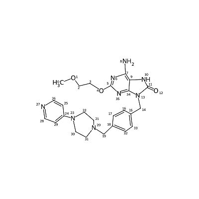 COCCOc1nc(N)c2[nH]c(=O)n(Cc3ccc(CN4CCN(c5ccncc5)CC4)cc3)c2n1